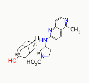 Cc1nccc2nc(NC3CCN(C(=O)O)[C@@H]3C3C4CC5C[C@H]3C[C@@](O)(C5)C4)ccc12